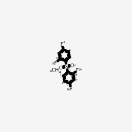 C.O=S(=O)(c1ccc(F)cc1F)c1ccc(F)cc1F